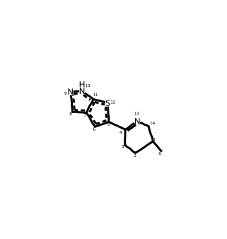 CC1CCC(c2cc3cn[nH]c3s2)=NC1